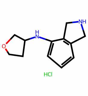 Cl.c1cc2c(c(NC3CCOC3)c1)CNC2